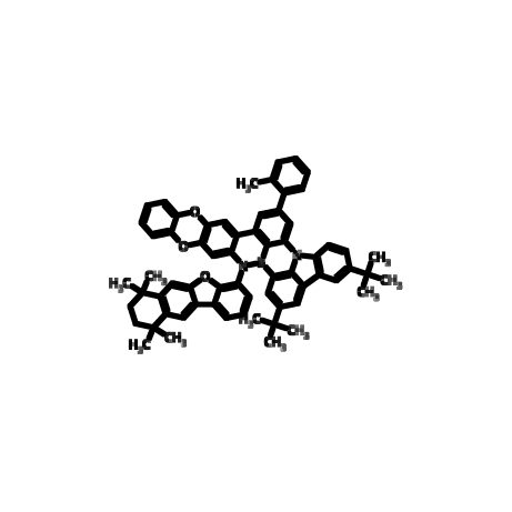 Cc1ccccc1-c1cc2c3c(c1)-n1c4ccc(C(C)(C)C)cc4c4cc(C(C)(C)C)cc(c41)B3N(c1cccc3c1oc1cc4c(cc13)C(C)(C)CCC4(C)C)c1cc3c(cc1-2)Oc1ccccc1O3